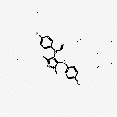 Cc1nn(C)c(Sc2ccc(Cl)cc2)c1N(C=O)c1ccc(F)cc1